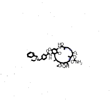 CCN(Cc1ccccc1)Cc1ccc(C(=O)NC2=C3CC(C)CC(OC)C(O)C(C)/C=C(\C)C(OC(N)=O)C(OC)/C=C\C=C(/C)C(=O)NC(=CC2=O)C3=O)cc1